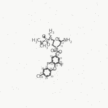 CN(C)S(=O)(=O)N(C)CCN(CC(N)=O)S(=O)(=O)c1cc(F)c(Oc2ccc(Cl)cc2)c(F)c1